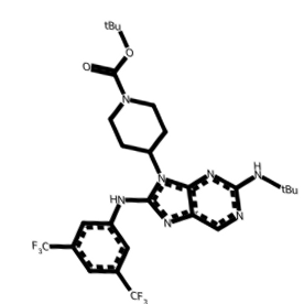 CC(C)(C)Nc1ncc2nc(Nc3cc(C(F)(F)F)cc(C(F)(F)F)c3)n(C3CCN(C(=O)OC(C)(C)C)CC3)c2n1